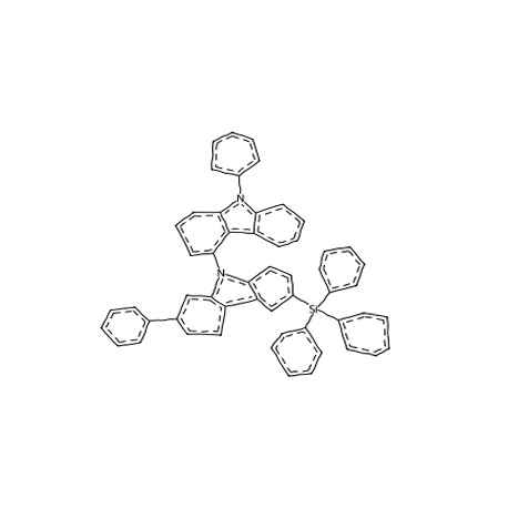 c1ccc(-c2ccc3c4cc([Si](c5ccccc5)(c5ccccc5)c5ccccc5)ccc4n(-c4cccc5c4c4ccccc4n5-c4ccccc4)c3c2)cc1